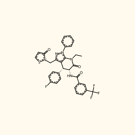 CCN1C(=O)[C@H](NC(=O)c2cccc(C(F)(F)F)c2)[C@H](c2ccc(F)cc2)c2c(Cn3sccc3=O)nn(-c3ccccc3)c21